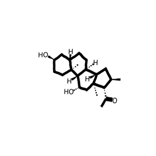 CC(=O)[C@H]1[C@H](C)C[C@H]2[C@@H]3CC[C@H]4C[C@H](O)CC[C@]4(C)[C@H]3[C@@H](O)C[C@@]21C